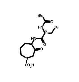 CC(C)C[C@H](NC(=O)C(C)(C)C)C(=O)NC1CCCN(C(=O)O)CC1=O